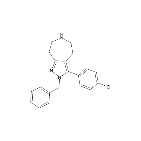 Clc1ccc(-c2c3c(nn2Cc2ccccc2)CCNCC3)cc1